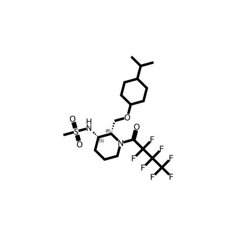 CC(C)C1CCC(OC[C@H]2[C@@H](NS(C)(=O)=O)CCCN2C(=O)C(F)(F)C(F)(F)C(F)(F)F)CC1